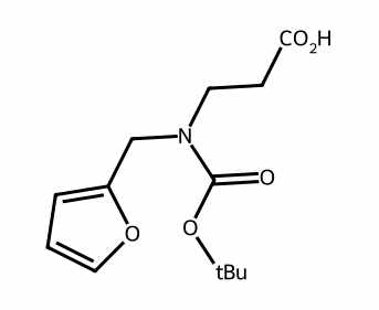 CC(C)(C)OC(=O)N(CCC(=O)O)Cc1ccco1